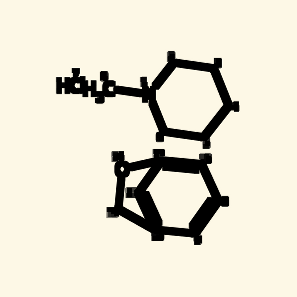 CN1CCCCC1.Cl.c1cc2cc(c1)OC2